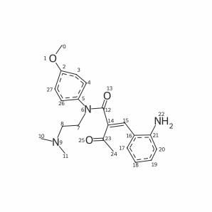 COc1ccc(N(CCN(C)C)C(=O)C(=Cc2ccccc2N)C(C)=O)cc1